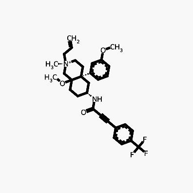 C=CC[N@@+]1(C)CC[C@@]2(c3cccc(OC)c3)C[C@H](NC(=O)C#Cc3ccc(C(F)(F)F)cc3)CCC2(OC)C1